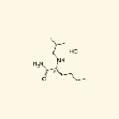 CCCC[C@H](NCC(C)C)C(N)=O.Cl